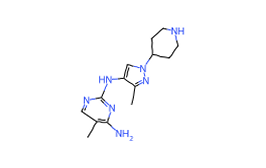 Cc1cnc(Nc2cn(C3CCNCC3)nc2C)nc1N